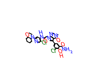 Cn1cnc2c(c(-c3cc(Cl)c(O)c(C(N)=O)c3)cn2CC(=O)Nc2cc(N3CCOC4CCCCC43)ncc2Cl)c1=O